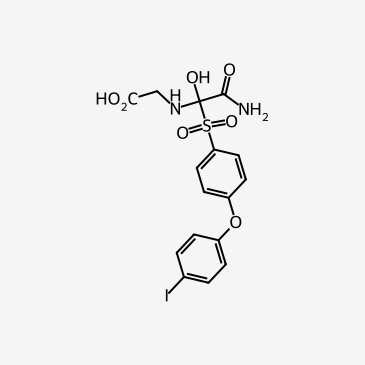 NC(=O)C(O)(NCC(=O)O)S(=O)(=O)c1ccc(Oc2ccc(I)cc2)cc1